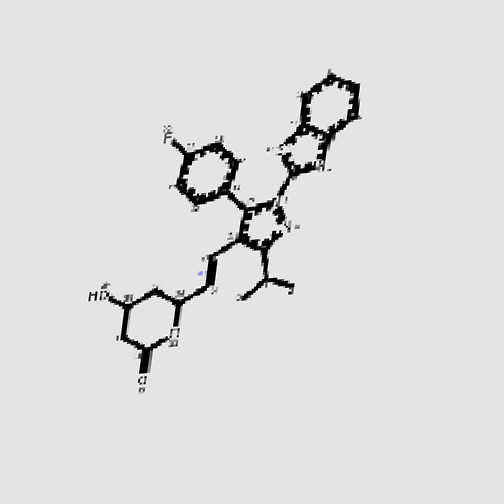 CC(C)c1nn(-c2nc3ccccc3s2)c(-c2ccc(F)cc2)c1/C=C/C1CC(O)CC(=O)O1